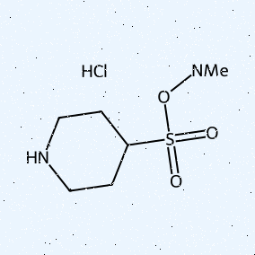 CNOS(=O)(=O)C1CCNCC1.Cl